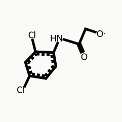 [O]CC(=O)Nc1ccc(Cl)cc1Cl